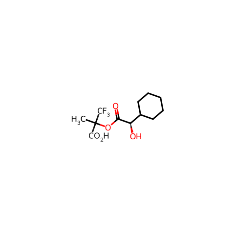 CC(OC(=O)[C@H](O)C1CCCCC1)(C(=O)O)C(F)(F)F